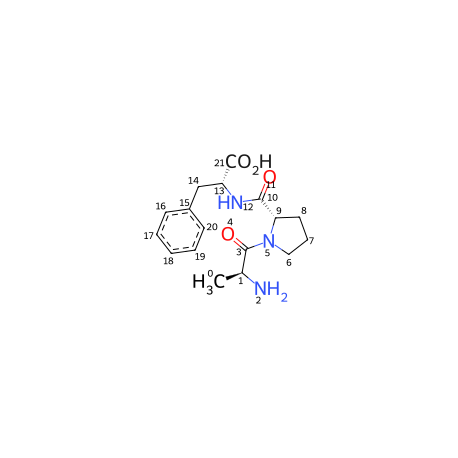 C[C@H](N)C(=O)N1CCC[C@H]1C(=O)N[C@H](Cc1ccccc1)C(=O)O